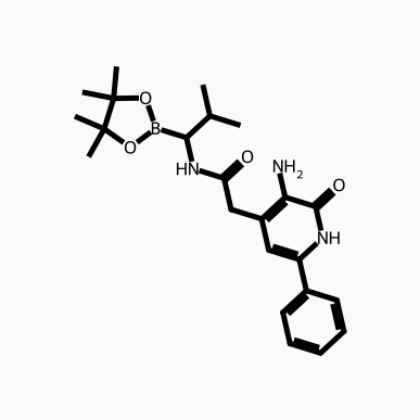 CC(C)C(NC(=O)Cc1cc(-c2ccccc2)[nH]c(=O)c1N)B1OC(C)(C)C(C)(C)O1